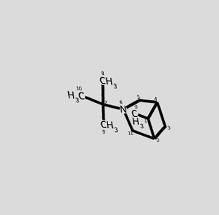 CC1C2CC1CN(C(C)(C)C)C2